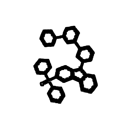 O=P(c1ccccc1)(c1ccccc1)c1ccc2c(c1)c1ccccc1n2-c1cccc(-c2cccc(-c3ccccc3)c2)c1